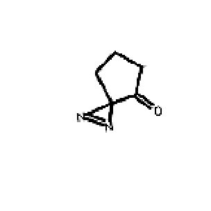 O=C1[CH]CCC12N=N2